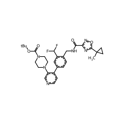 CC(C)(C)OC(=O)N1CCN(c2cnccc2-c2ccc(CNC(=O)c3noc(C4(C)CC4)n3)c(C(F)F)c2)CC1